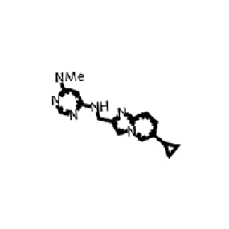 CNc1cc(NCc2cn3cc(C4CC4)ccc3n2)ncn1